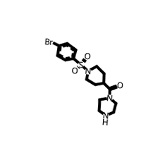 O=C(C1CCN(S(=O)(=O)c2ccc(Br)cc2)CC1)N1CCNCC1